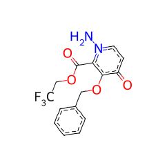 Nn1ccc(=O)c(OCc2ccccc2)c1C(=O)OCC(F)(F)F